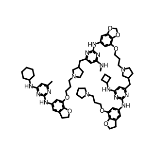 CNc1cc(CC2CCN(CCCOc3cc(Nc4nc(C)cc(NC5CCCCC5)n4)cc4c3OCC4)C2)nc(Nc2cc(OCCCN3CCC(Cc4cc(NC5CCC5)nc(Nc5cc6c(c(OCCCN7CCCC7)c5)OCC6)n4)C3)c3c(c2)OCO3)n1